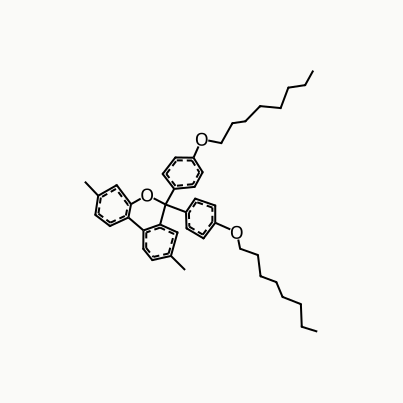 CCCCCCCCOc1ccc(C2(c3ccc(OCCCCCCCC)cc3)Oc3cc(C)ccc3-c3ccc(C)cc32)cc1